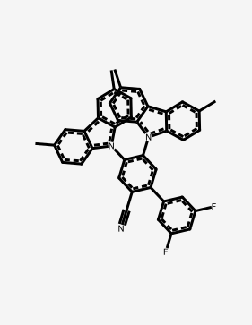 Cc1ccc2c(c1)c1cc(C)ccc1n2-c1cc(C#N)c(-c2cc(F)cc(F)c2)cc1-n1c2ccc(C)cc2c2cc(C)ccc21